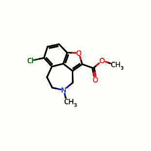 COC(=O)c1oc2ccc(Cl)c3c2c1CN(C)CC3